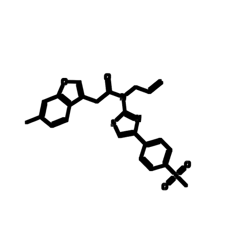 C=CCN(C(=O)Cc1coc2cc(C)ccc12)c1nc(-c2ccc(S(C)(=O)=O)cc2)cs1